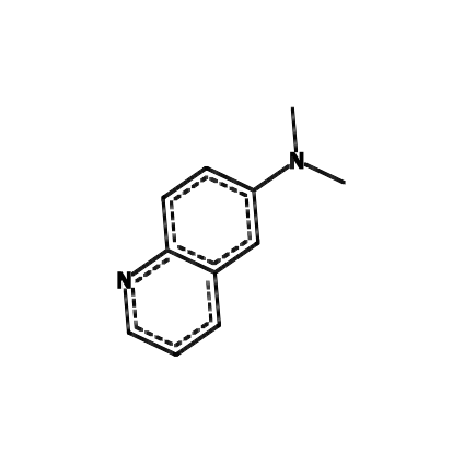 CN(C)c1ccc2ncccc2c1